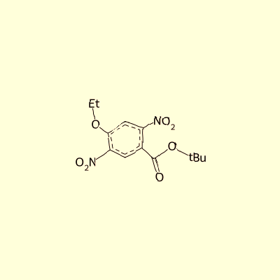 CCOc1cc([N+](=O)[O-])c(C(=O)OC(C)(C)C)cc1[N+](=O)[O-]